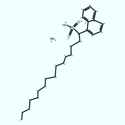 CCCCCCCCCCCCCCCC(c1cccc2ccccc12)S(=O)(=O)O.N